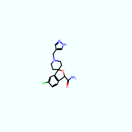 NC(=O)C1OC2(CCN(Cc3cn[nH]c3)CC2)c2cc(Cl)ccc21